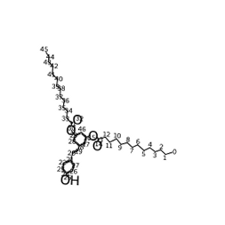 CCCCCCCCCCCCCC(=O)Oc1cc(C=Cc2ccc(O)cc2)cc(OC(=O)CCCCCCCCCCCCC)c1